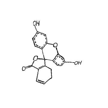 O=C1OC2(C3=C1C=CCC3)c1ccc(O)cc1Oc1cc(O)ccc12